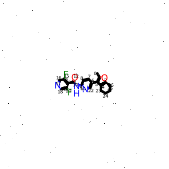 Cc1oc2c(c1-c1ccc(NC(=O)c3c(F)cncc3F)nc1)CCCC2